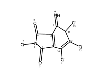 N=C1C2=C(C(=O)N(Cl)C2=O)C(Cl)=C(Cl)C1Cl